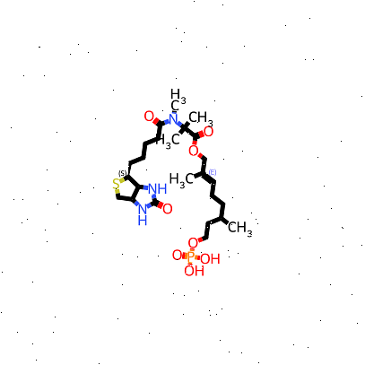 C/C(=C\CCC(C)CCOP(=O)(O)O)COC(=O)C(C)(C)N(C)C(=O)CCCC[C@@H]1SCC2NC(=O)NC21